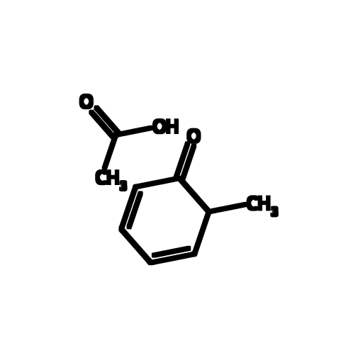 CC(=O)O.CC1C=CC=CC1=O